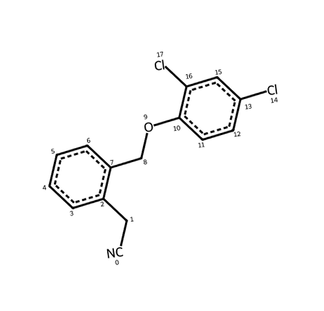 N#CCc1ccccc1COc1ccc(Cl)cc1Cl